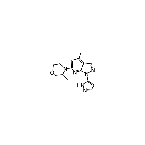 Cc1cc(N2CCOCC2C)nc2c1cnn2-c1ccn[nH]1